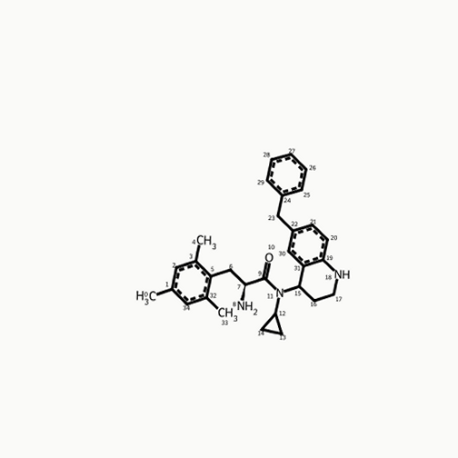 Cc1cc(C)c(C[C@H](N)C(=O)N(C2CC2)C2CCNc3ccc(Cc4ccccc4)cc32)c(C)c1